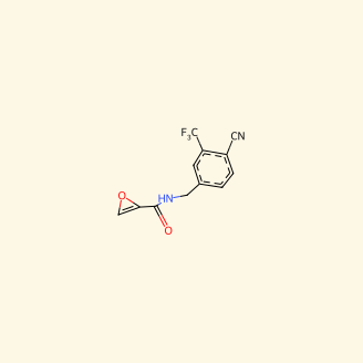 N#Cc1ccc(CNC(=O)C2=CO2)cc1C(F)(F)F